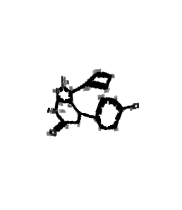 O=C1CC(c2ccc(Cl)cc2)c2c(n[nH]c2C2=CC=C2)N1